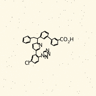 O=C(O)c1cccc(-c2cccc(C(Cc3ccccc3)c3ccc(-c4cc(Cl)ccc4-n4cnnn4)cn3)c2)c1